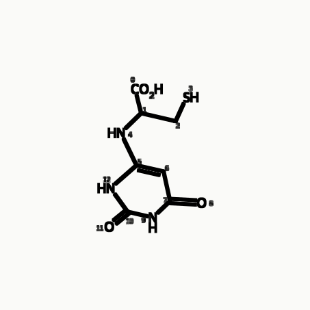 O=C(O)C(CS)Nc1cc(=O)[nH]c(=O)[nH]1